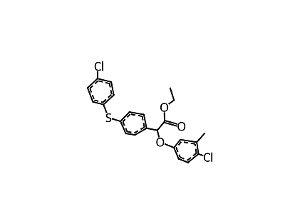 CCOC(=O)C(Oc1ccc(Cl)c(C)c1)c1ccc(Sc2ccc(Cl)cc2)cc1